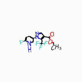 CCOC(=O)c1cnn(C2=CC=C(F)NC2)c1C(F)(F)F